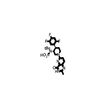 Cc1nc2ccc(N3CC[C@H](c4cc(F)c(F)cc4F)[C@@H](N(C(=O)O)C(C)(C)C)C3)nc2c(=O)[nH]1